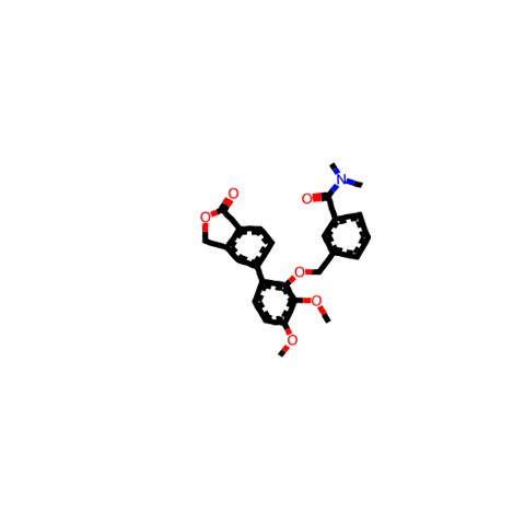 COc1ccc(-c2ccc3c(c2)COC3=O)c(OCc2cccc(C(=O)N(C)C)c2)c1OC